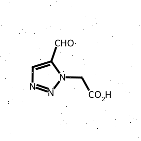 O=Cc1cnnn1CC(=O)O